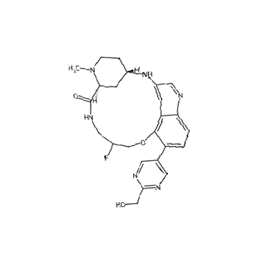 CN1CC[C@H]2C[C@H]1C(=O)NCC(F)COc1c(-c3cnc(CO)nc3)ccc3ncc(cc13)N2